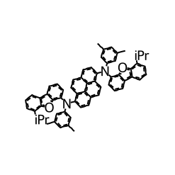 Cc1cc(C)cc(N(c2ccc3ccc4c(N(c5cc(C)cc(C)c5)c5cccc6c5oc5c(C(C)C)cccc56)ccc5ccc2c3c54)c2cccc3c2oc2c(C(C)C)cccc23)c1